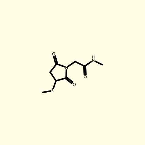 CNC(=O)CN1C(=O)CC(SC)C1=O